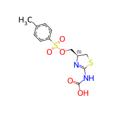 Cc1ccc(S(=O)(=O)OC[C@H]2CSC(NC(=O)O)=N2)cc1